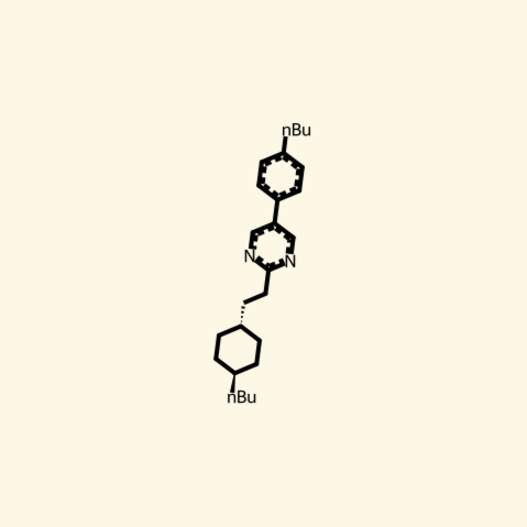 CCCCc1ccc(-c2cnc(CC[C@H]3CC[C@H](CCCC)CC3)nc2)cc1